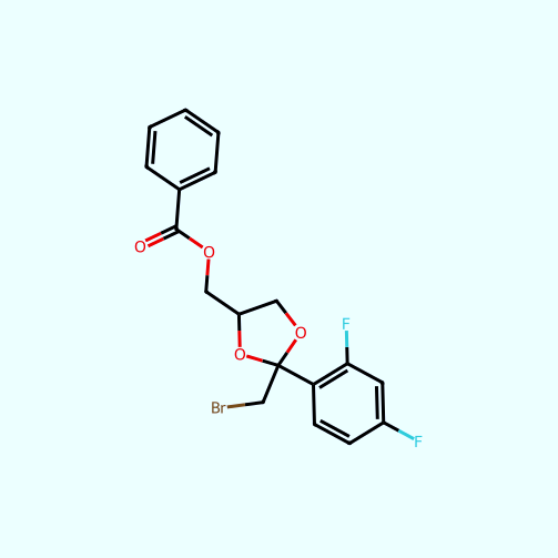 O=C(OCC1COC(CBr)(c2ccc(F)cc2F)O1)c1ccccc1